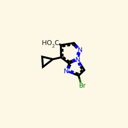 O=C(O)c1cnn2cc(Br)nc2c1C1CC1